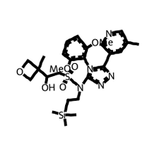 COc1cccc(OC)c1-n1c(-c2cncc(C)c2)nnc1N(CC[Si](C)(C)C)S(=O)(=O)CC(O)C1(C)COC1